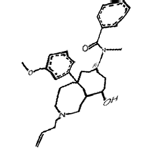 C=CCN1CCC2(c3cccc(OC)c3)C[C@@H](N(C)C(=O)c3ccccc3)CC(O)C2C1